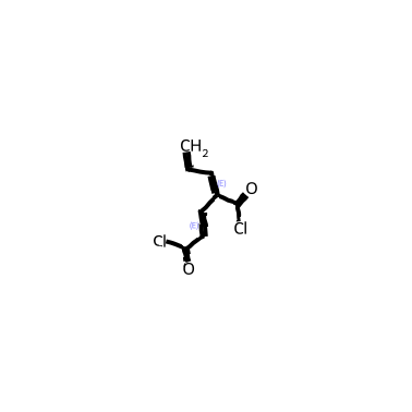 C=C/C=C(\C=C\C(=O)Cl)C(=O)Cl